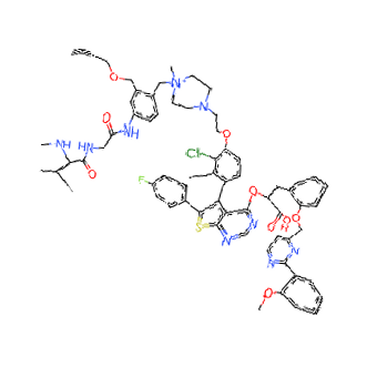 C#CCOCc1cc(NC(=O)CNC(=O)C(NC)C(C)C)ccc1C[N+]1(C)CCN(CCOc2ccc(-c3c(-c4ccc(F)cc4)sc4ncnc(OC(Cc5ccccc5OCc5ccnc(-c6ccccc6OC)n5)C(=O)O)c34)c(C)c2Cl)CC1